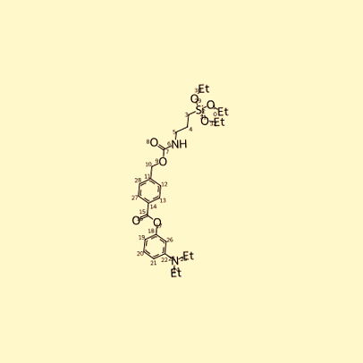 CCO[Si](CCCNC(=O)OCc1ccc(C(=O)Oc2cccc(N(CC)CC)c2)cc1)(OCC)OCC